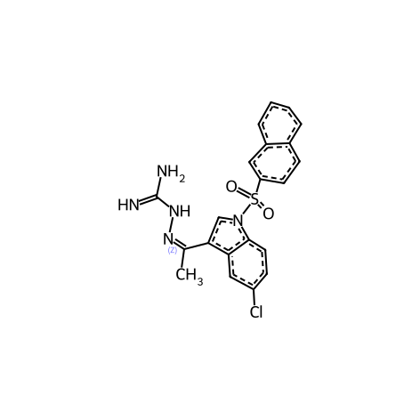 C/C(=N/NC(=N)N)c1cn(S(=O)(=O)c2ccc3ccccc3c2)c2ccc(Cl)cc12